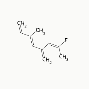 C=C/C(C)=C/C(=C)/C=C(\C)F